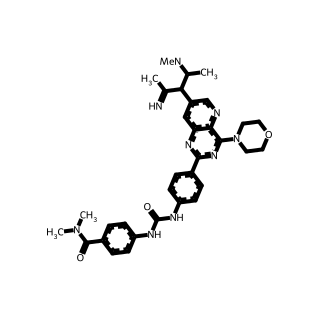 CNC(C)C(C(C)=N)c1cnc2c(N3CCOCC3)nc(-c3ccc(NC(=O)Nc4ccc(C(=O)N(C)C)cc4)cc3)nc2c1